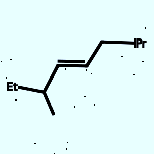 [CH2]C(C)C/C=C/C(C)CC